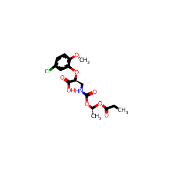 CCC(=O)O[C@H](C)OC(=O)NC[C@H](Oc1cc(Cl)ccc1OC)C(=O)O